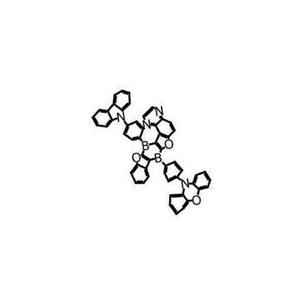 c1ccc2c(c1)Oc1ccccc1N2c1ccc(B2c3oc4ccc5nccnc5c4c3B(c3ccc(-n4c5ccccc5c5ccccc54)cc3)c3oc4ccccc4c32)cc1